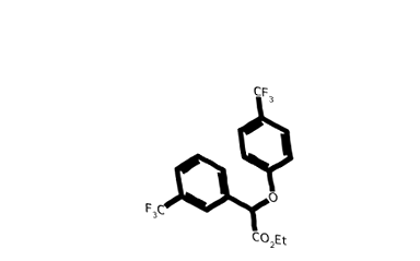 CCOC(=O)C(Oc1ccc(C(F)(F)F)cc1)c1cccc(C(F)(F)F)c1